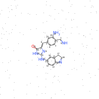 N=Cc1ccc(/C=C2\N=C(Nc3ccc4c(c3)CC=N4)NC2=O)cc1N